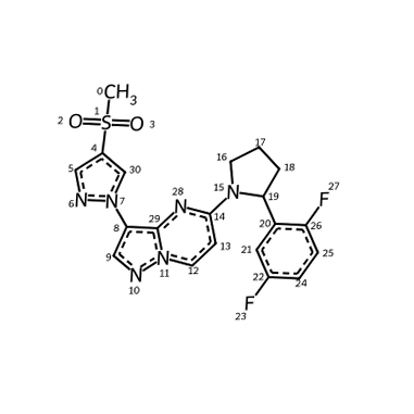 CS(=O)(=O)c1cnn(-c2cnn3ccc(N4CCCC4c4cc(F)ccc4F)nc23)c1